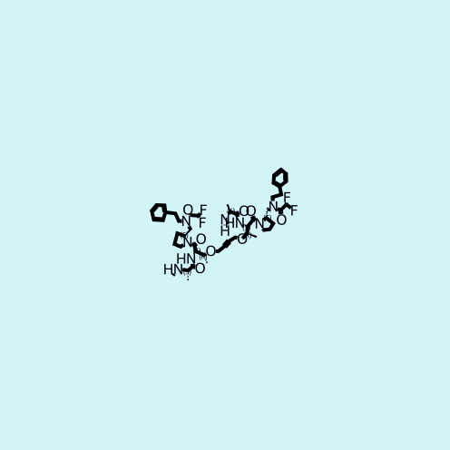 CN[C@@H](C)C(=O)N[C@H](C(=O)N1CCC[C@H]1CN(CCc1ccccc1)C(=O)C(F)F)[C@@H](C)OCC#CCO[C@H](C)[C@H](NC(=O)[C@H](C)NC)C(=O)N1CCC[C@H]1CN(CCc1ccccc1)C(=O)C(F)F